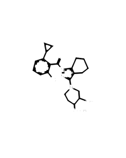 O=C(O)C1CCN(c2nn(C(=O)c3c(Cl)cccc3C3CC3)c3c2CCCC3)CC1O